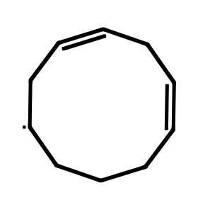 [CH]1CC=CCC=CCCC1